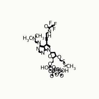 CSSCO[C@@H]1C[C@H](n2cc(C#CCNC(=O)C(F)(F)F)c3c(/N=C/N(C)C)ncnc32)O[C@@H]1COP(=O)(O)OP(=O)(O)OP(=O)(O)O